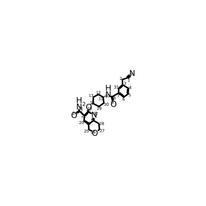 N#CCc1cccc(C(=O)N[C@H]2CC[C@H](Oc3nc4c(cc3C(N)=O)COCC4)CC2)c1